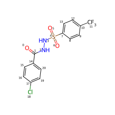 O=C(NNS(=O)(=O)c1ccc(C(F)(F)F)cc1)c1ccc(Cl)cc1